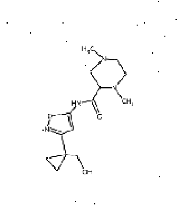 CN1CCN(C)C(C(=O)Nc2cc(C3(CO)CC3)no2)C1